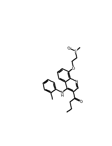 CCCC(=O)c1cnc2c(OCC[S+](C)[O-])cccc2c1Nc1ccccc1C